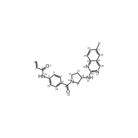 C=CC(=O)Nc1ccc(C(=O)N2CCC(Nc3ncc4cc(C)ccc4n3)C2)cc1